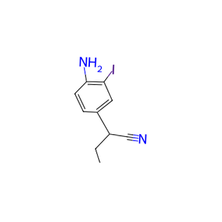 CCC(C#N)c1ccc(N)c(I)c1